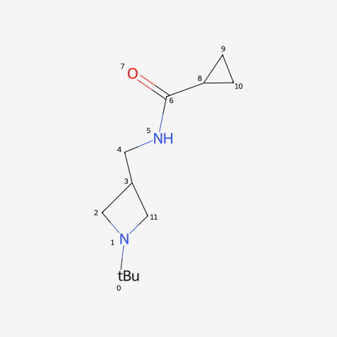 CC(C)(C)N1CC(CNC(=O)C2CC2)C1